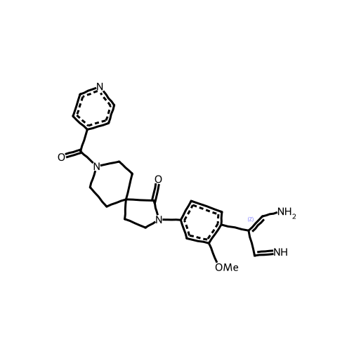 COc1cc(N2CCC3(CCN(C(=O)c4ccncc4)CC3)C2=O)ccc1/C(C=N)=C/N